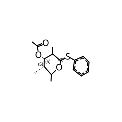 CC(=O)O[C@@H]1C(C)[C@@H](Sc2ccccc2)OC(C)[C@@H]1C